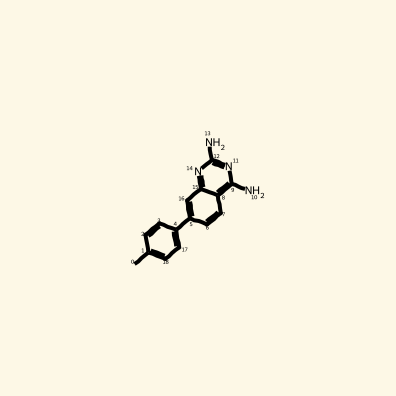 Cc1ccc(-c2ccc3c(N)nc(N)nc3c2)cc1